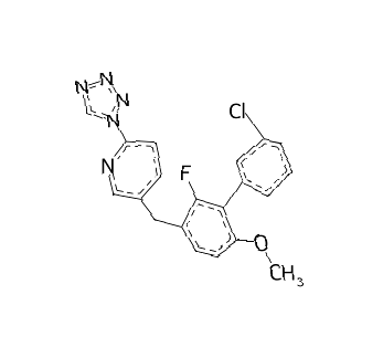 COc1ccc(Cc2ccc(-n3cnnn3)nc2)c(F)c1-c1cccc(Cl)c1